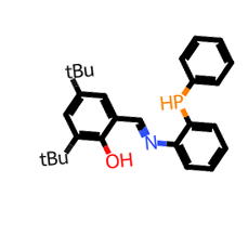 CC(C)(C)c1cc(/C=N/c2ccccc2Pc2ccccc2)c(O)c(C(C)(C)C)c1